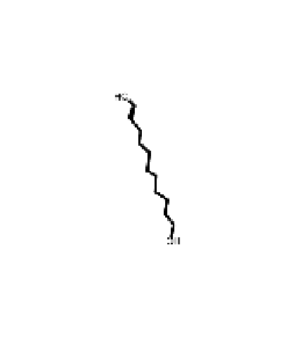 O/C=C/CCCCCCCCCO